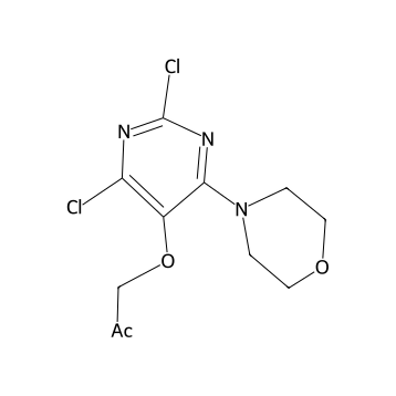 CC(=O)COc1c(Cl)nc(Cl)nc1N1CCOCC1